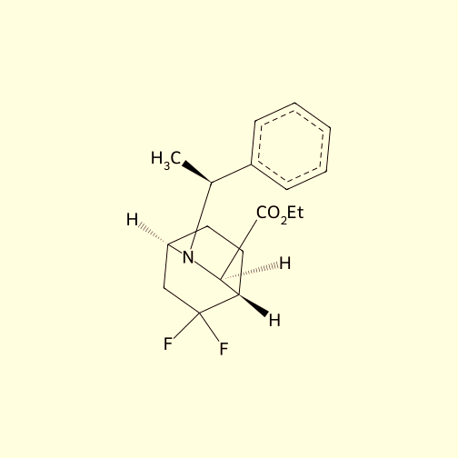 CCOC(=O)[C@H]1[C@@H]2CC[C@H](CC2(F)F)N1[C@@H](C)c1ccccc1